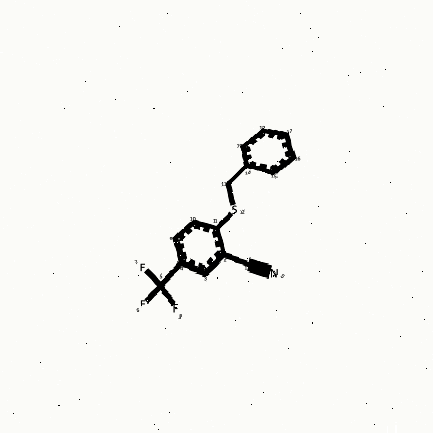 N#Cc1cc(C(F)(F)F)ccc1SCc1ccccc1